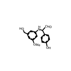 COc1cc(CO)cc(NC(C=O)c2ccc(O)cc2)c1